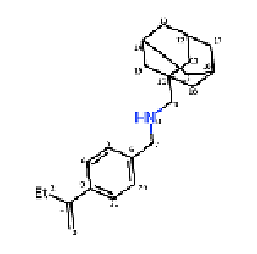 C=C(CC)c1ccc(CNCC23CC4CC(CC(C4)C2)C3)cc1